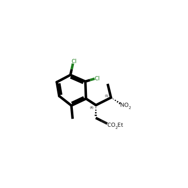 CCOC(=O)C[C@H](c1c(C)ccc(Cl)c1Cl)[C@H](C)[N+](=O)[O-]